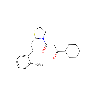 COc1ccccc1CC[C@@H]1SCCN1C(=O)CC(=O)C1CCCCC1